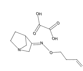 C=CCCON=C1CN2CCC1C2.O=C(O)C(=O)O